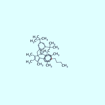 CCCCc1ccc(C2=C(C)C(C)=C(C)C2(Cc2cc(C(C)(C)C)cc(C(C)(C)C)c2)[SiH2]c2cc(C)cc(C)c2)cc1